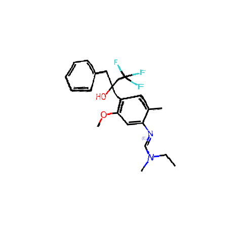 CCN(C)/C=N/c1cc(OC)c(C(O)(Cc2ccccc2)C(F)(F)F)cc1C